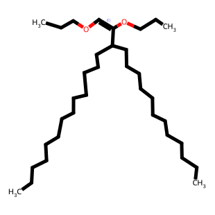 CCCCCCCCCCCCCC(CCCCCCCCCCCC)/C(=[C]\OCCC)OCCC